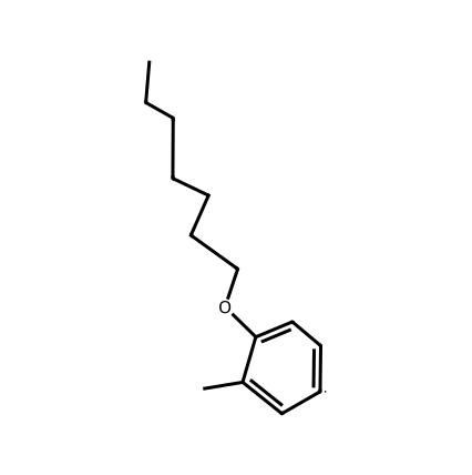 CCCCCCCOc1cc[c]cc1C